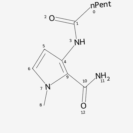 CCCCCC(=O)Nc1ccn(C)c1C(N)=O